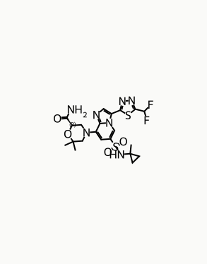 CC1(NS(=O)(=O)c2cc(N3C[C@H](C(N)=O)OC(C)(C)C3)c3ncc(-c4nnc(C(F)F)s4)n3c2)CC1